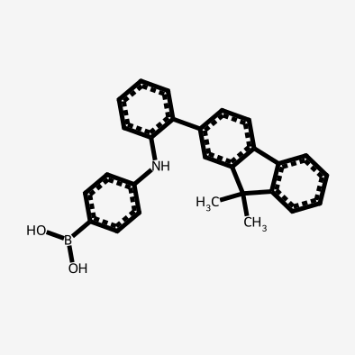 CC1(C)c2ccccc2-c2ccc(-c3ccccc3Nc3ccc(B(O)O)cc3)cc21